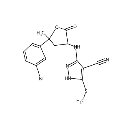 CSc1[nH]nc(NC2CC(C)(c3cccc(Br)c3)OC2=O)c1C#N